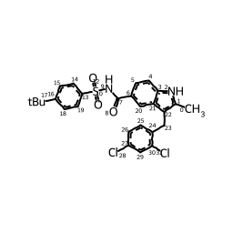 Cc1[nH]c2ccc(C(=O)NS(=O)(=O)c3ccc(C(C)(C)C)cc3)cc2c1Cc1ccc(Cl)cc1Cl